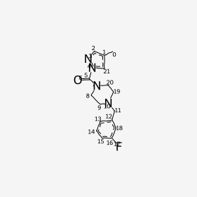 Cc1cnn(C(=O)N2CCN(Cc3cccc(F)c3)CC2)c1